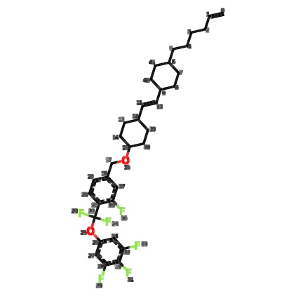 C=CCCCCC1CCC(/C=C/C2CCC(OCc3ccc(C(F)(F)Oc4cc(F)c(F)c(F)c4)c(F)c3)CC2)CC1